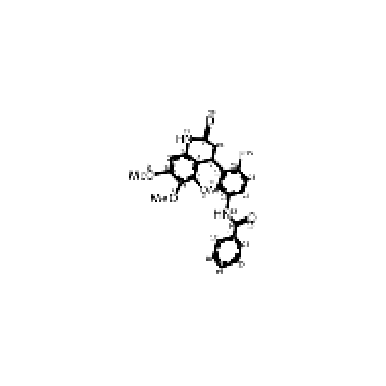 COc1cc2c(c(OC)c1OC)C(c1cc(NC(=O)c3ccccc3)ccc1F)CC(=O)N2